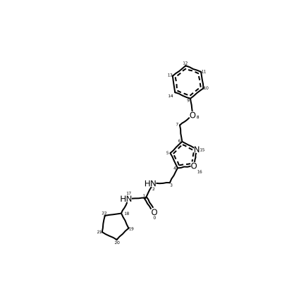 O=C(NCc1cc(COc2ccccc2)no1)NC1CCCC1